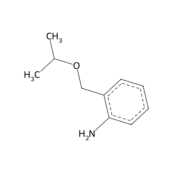 CC(C)OCc1ccccc1N